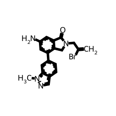 C=C(Br)CN1Cc2c(cc(N)cc2-c2ccc3cnn(C)c3c2)C1=O